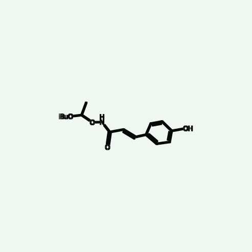 CC(C)COC(C)ONC(=O)C=Cc1ccc(O)cc1